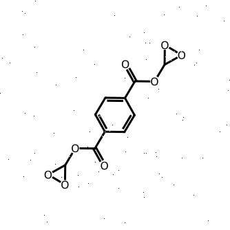 O=C(OC1OO1)c1ccc(C(=O)OC2OO2)cc1